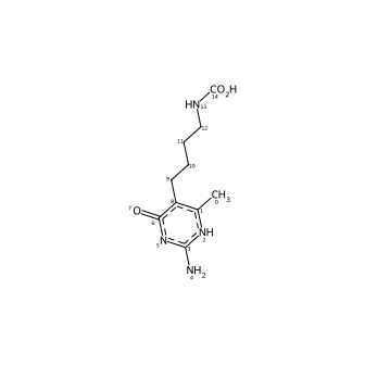 Cc1[nH]c(N)nc(=O)c1CCCCNC(=O)O